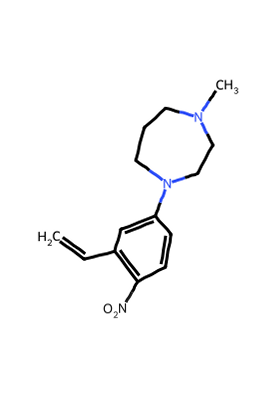 C=Cc1cc(N2CCCN(C)CC2)ccc1[N+](=O)[O-]